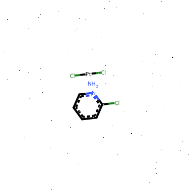 Clc1ccccn1.N.[Cl][Pt][Cl]